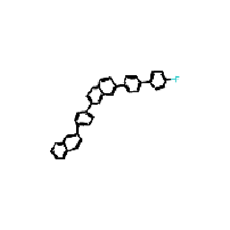 Fc1ccc(-c2ccc(-c3ccc4ccc(-c5ccc(-c6ccc7ccccc7c6)cc5)cc4c3)cc2)cc1